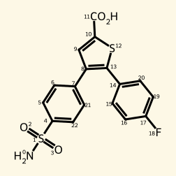 NS(=O)(=O)c1ccc(-c2cc(C(=O)O)sc2-c2ccc(F)cc2)cc1